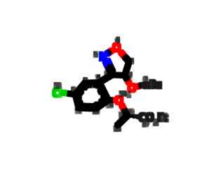 CCCCOC1CON=C1c1cc(Cl)ccc1O[C@@H](C)C(=O)OCC